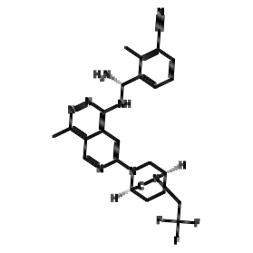 Cc1c(C#N)cccc1[C@@H](N)Nc1nnc(C)c2cnc(N3C[C@H]4CC[C@@H]3CN4CC(F)(F)F)cc12